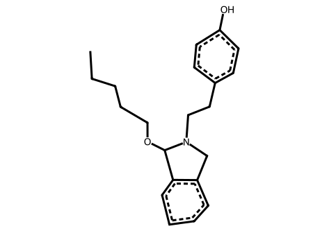 CCCCCOC1c2ccccc2CN1CCc1ccc(O)cc1